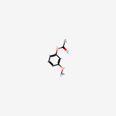 CCCOc1cccc(OC(=O)CC)c1